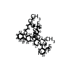 CCC[C@H]1N(C(=O)c2cnccc2C(F)(F)F)CCC[C@@]1(Oc1csc(C(F)(F)F)c1)C(=O)N1CCC(F)(c2ccccc2OCCCC(=O)OCC)CC1